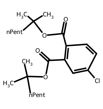 CCCCCC(C)(C)OC(=O)c1ccc(Cl)cc1C(=O)OC(C)(C)CCCCC